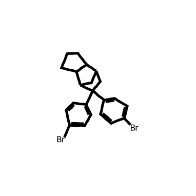 Brc1ccc(C2(c3ccc(Br)cc3)CC3CC2C2CCCC32)cc1